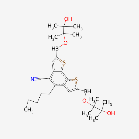 CCCCCc1c(C#N)c2cc(BOC(C)(C)C(C)(C)O)sc2c2sc(BOC(C)(C)C(C)(C)O)cc12